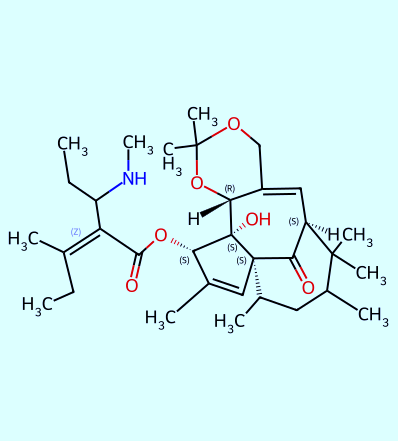 CC/C(C)=C(\C(=O)O[C@H]1C(C)=C[C@]23C(=O)[C@@H](C=C4COC(C)(C)O[C@H]4[C@]12O)C(C)(C)C(C)CC3C)C(CC)NC